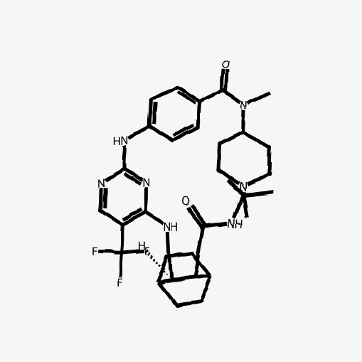 CC(C)NC(=O)C1C2CCC(CC2)[C@H]1Nc1nc(Nc2ccc(C(=O)N(C)C3CCN(C)CC3)cc2)ncc1C(F)(F)F